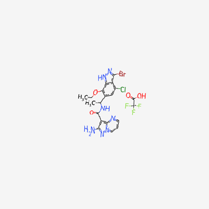 CCOc1c(C(C)NC(=O)c2c(N)nn3cccnc23)cc(Cl)c2c(Br)n[nH]c12.O=C(O)C(F)(F)F